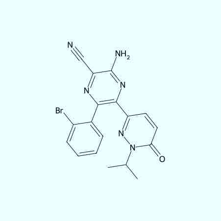 CC(C)n1nc(-c2nc(N)c(C#N)nc2-c2ccccc2Br)ccc1=O